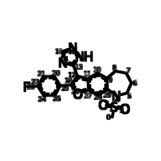 CS(=O)(=O)N1CCCCc2cc3c(-c4ncn[nH]4)c(-c4ccc(F)cc4)oc3cc21